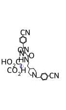 N#Cc1ccc(CN2CCC(CCNC(=O)c3noc(-c4ccc(C#N)cc4)n3)CC2)cc1.O=C(O)/C=C/C(=O)O